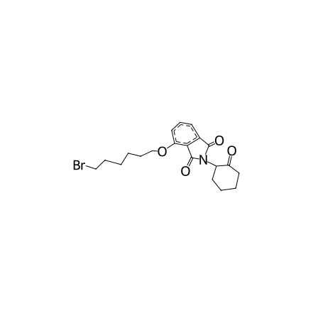 O=C1CCCCC1N1C(=O)c2cccc(OCCCCCCBr)c2C1=O